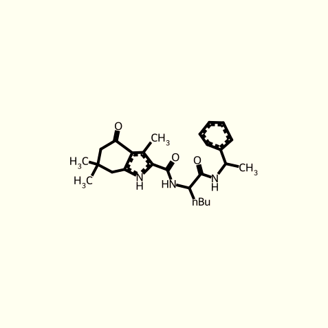 CCCCC(NC(=O)c1[nH]c2c(c1C)C(=O)CC(C)(C)C2)C(=O)NC(C)c1ccccc1